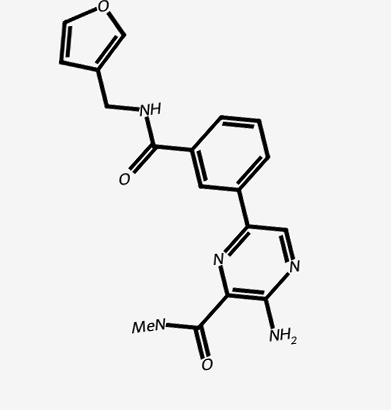 CNC(=O)c1nc(-c2cccc(C(=O)NCc3ccoc3)c2)cnc1N